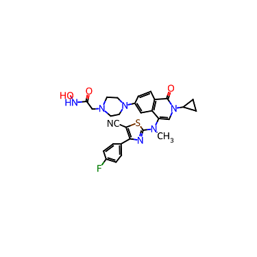 CN(c1nc(-c2ccc(F)cc2)c(C#N)s1)c1cn(C2CC2)c(=O)c2ccc(N3CCN(CC(=O)NO)CC3)cc12